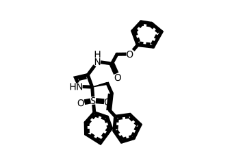 O=C(COc1ccccc1)NC1=CN[C@@]1(C/C=C/c1ccccc1)S(=O)(=O)c1ccccc1